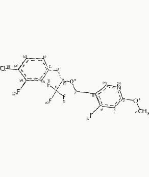 COc1cc(I)c(CO[C@@H](Cc2ccc(Cl)c(F)c2)C(F)(F)F)cn1